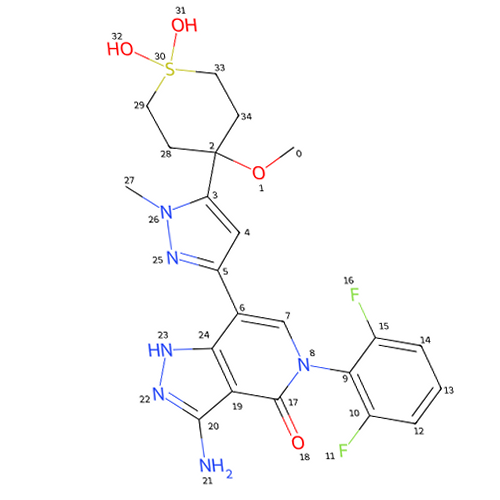 COC1(c2cc(-c3cn(-c4c(F)cccc4F)c(=O)c4c(N)n[nH]c34)nn2C)CCS(O)(O)CC1